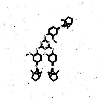 COC1=C(Oc2nc(OC3=C(OC)CC(=C=C4CC5CCC4(C)C5(C)C)C=C3)nc(OC3=C(OC)CC(=C=C4CC5CCC4(C)C5(C)C)C=C3)n2)C=CC(=C=C2CC3CCC2(C)C3(C)C)C1